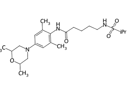 Cc1cc(N2CC(C)OC(C)C2)cc(C)c1NC(=O)CCCCNS(=O)(=O)C(C)C